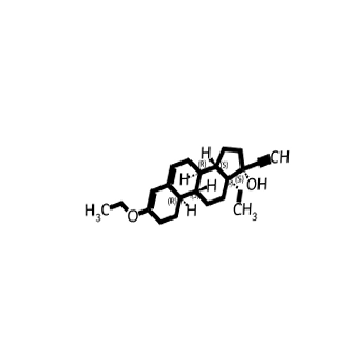 C#C[C@]1(O)CC[C@H]2[C@@H]3CC=C4C=C(OCC)CC[C@@H]4[C@H]3CC[C@@]21CC